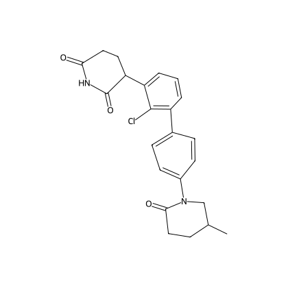 CC1CCC(=O)N(c2ccc(-c3cccc(C4CCC(=O)NC4=O)c3Cl)cc2)C1